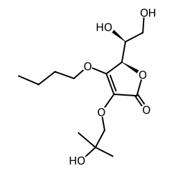 CCCCOC1=C(OCC(C)(C)O)C(=O)O[C@@H]1[C@@H](O)CO